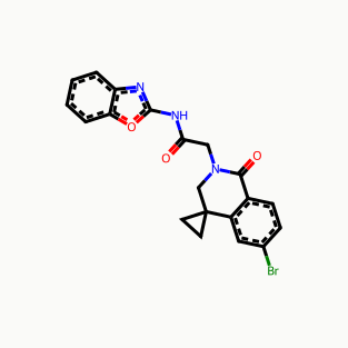 O=C(CN1CC2(CC2)c2cc(Br)ccc2C1=O)Nc1nc2ccccc2o1